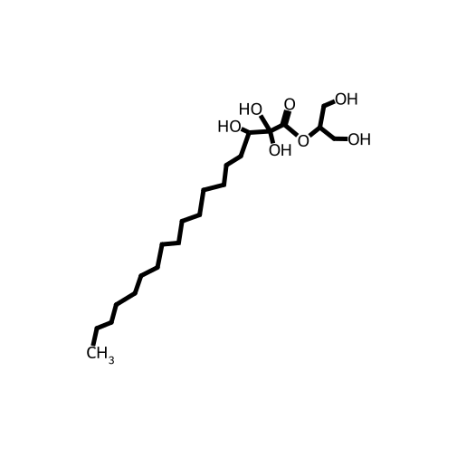 CCCCCCCCCCCCCCCC(O)C(O)(O)C(=O)OC(CO)CO